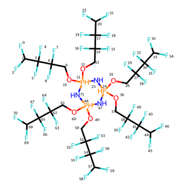 FC(F)C(F)(F)C(F)(F)CO[PH]1(OCC(F)(F)C(F)(F)C(F)F)N[PH](OCC(F)(F)C(F)(F)C(F)F)(OCC(F)(F)C(F)(F)C(F)F)N[PH](OCC(F)(F)C(F)(F)C(F)F)(OCC(F)(F)C(F)(F)C(F)F)N1